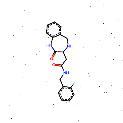 O=C(CC1NCc2ccccc2NC1=O)NCc1ccccc1F